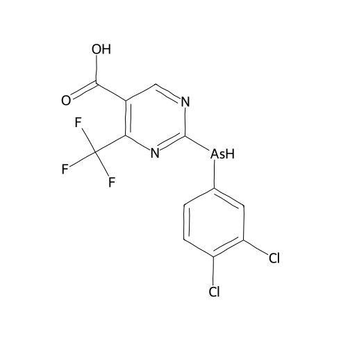 O=C(O)c1cnc([AsH]c2ccc(Cl)c(Cl)c2)nc1C(F)(F)F